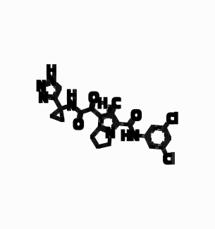 Cc1c(C(=O)C(=O)NC2(c3c[nH]nn3)CC2)c2n(c1C(=O)Nc1cc(Cl)cc(Cl)c1)CCC2